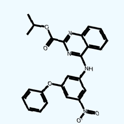 CC(C)OC(=O)c1nc(Nc2cc(Oc3ccccc3)cc([N+](=O)[O-])c2)c2ccccc2n1